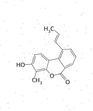 CC=Cc1cccc2c(=O)oc3c(C)c(O)ccc3c12